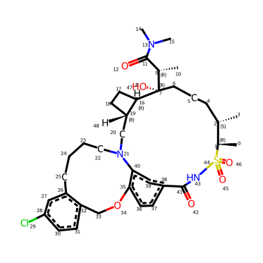 C[C@@H]1[C@@H](C)CCC[C@](O)([C@@H](C)C(=O)N(C)C)[C@@H]2CC[C@H]2CN2CCCCc3cc(Cl)ccc3COc3ccc(cc32)C(=O)NS1(=O)=O